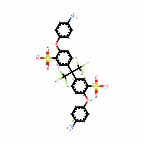 Nc1ccc(Oc2ccc(C(c3ccc(Oc4ccc(N)cc4)c(S(=O)(=O)O)c3)(C(F)(F)F)C(F)(F)F)cc2S(=O)(=O)O)cc1